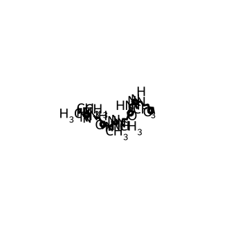 CN(C)c1nnc(NCCc2cc(N(C)c3nnc(N(C)CCc4cc(Nc5nnc(NCCc6ccco6)n5C)co4)[nH]3)co2)n1C